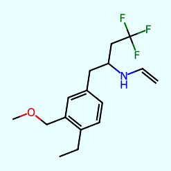 C=CNC(Cc1ccc(CC)c(COC)c1)CC(F)(F)F